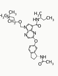 CC[C@H](C)NC(=O)c1cn(COCC[Si](C)(C)C)c2ncc(Oc3ccc4c(c3)[C@H](NC(C)=O)CC4)nc12